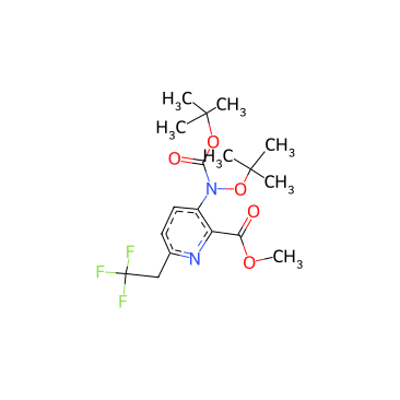 COC(=O)c1nc(CC(F)(F)F)ccc1N(OC(C)(C)C)C(=O)OC(C)(C)C